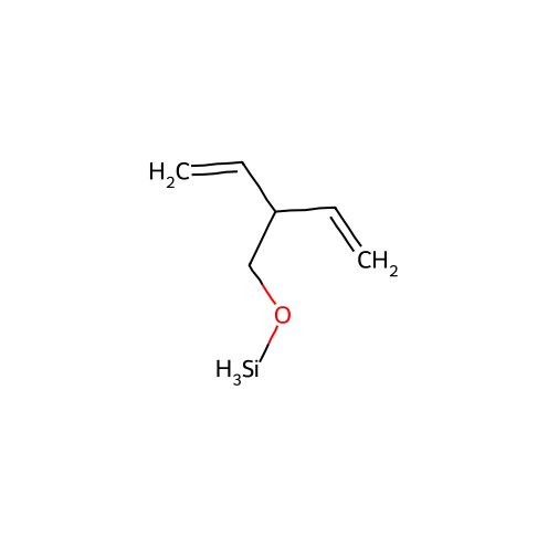 C=CC(C=C)CO[SiH3]